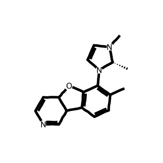 Cc1ccc2c(c1N1C=CN(C)[C@@H]1C)OC1C=CN=CC21